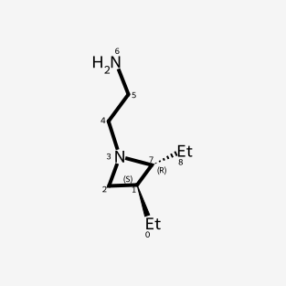 CC[C@H]1CN(CCN)[C@@H]1CC